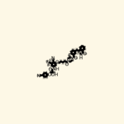 C[C@@](O)(COc1ccc(C#N)cc1)C(=O)Nc1cc(OCCCCC(=O)N2CCN(C(=O)c3cc(Cc4n[nH]c(=O)c5ccccc45)ccc3F)CC2)c(C#N)c(C(F)(F)F)c1